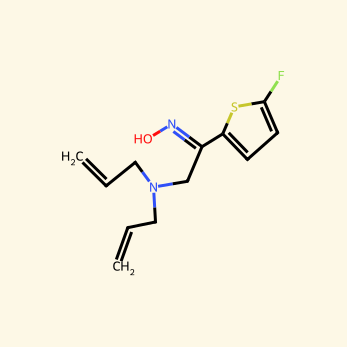 C=CCN(CC=C)C/C(=N\O)c1ccc(F)s1